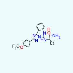 CC[C@@H](Nc1nc2ccccc2c2nc(-c3ccc(OC(F)(F)F)cc3)nn12)C(N)O